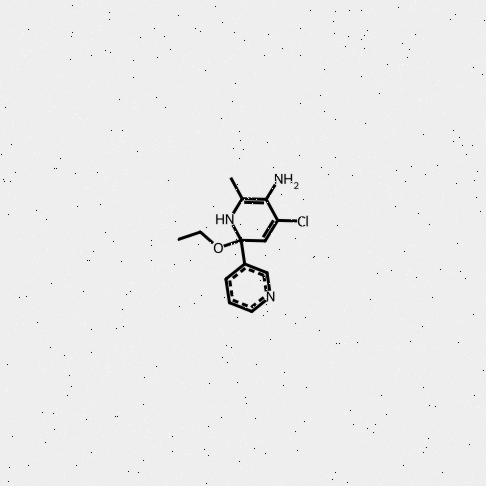 CCOC1(c2cccnc2)C=C(Cl)C(N)=C(C)N1